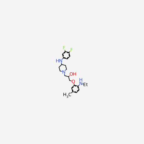 CCNc1ccc(C)cc1OCC(O)CN1CCC(Nc2ccc(F)c(F)c2)CC1